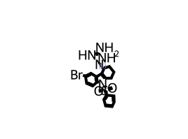 N=C(N)N/N=C1\CCCc2c1c1cc(Br)ccc1n2S(=O)(=O)c1ccccc1